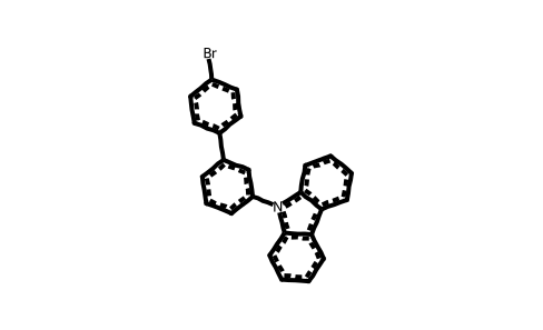 Brc1ccc(-c2cccc(-n3c4ccccc4c4ccccc43)c2)cc1